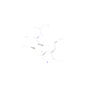 C=C/C=C(\C=C(/C)[S+]([O-])C(=C)C(=C)/C(C)=N/C(C)Cl)C(C)N